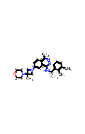 Cc1cccc([C@@H](C)Nc2nnc(C)c3ccc(N4CC(C)(N5CCOCC5)C4)cc23)c1C